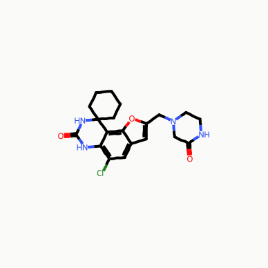 O=C1CN(Cc2cc3cc(Cl)c4c(c3o2)C2(CCCCC2)NC(=O)N4)CCN1